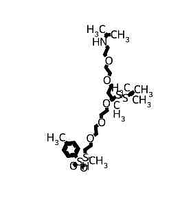 Cc1ccc(S(=O)(=O)[SH](C)CCOCCOCCOC(C)(CCOCCOCCNC(C)C)SSC(C)(C)C)cc1